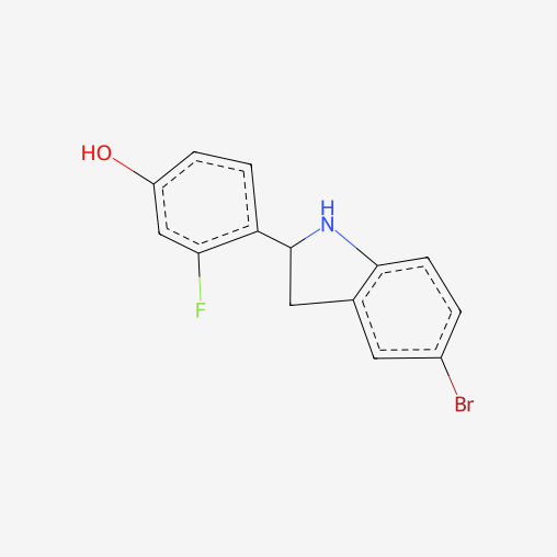 Oc1ccc(C2Cc3cc(Br)ccc3N2)c(F)c1